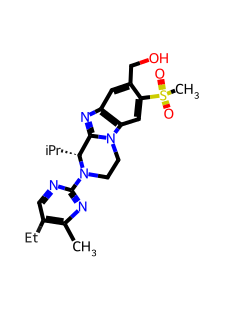 CCc1cnc(N2CCn3c(nc4cc(CO)c(S(C)(=O)=O)cc43)[C@H]2C(C)C)nc1C